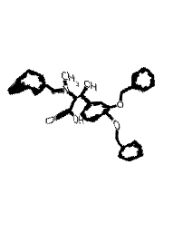 CN(Cc1ccccc1)[C@H](C(=O)O)C(O)c1ccc(OCc2ccccc2)c(OCc2ccccc2)c1